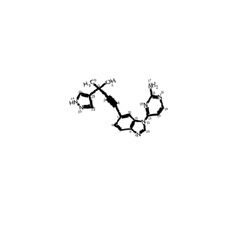 CC(O)(C#Cc1ccc2ncn(-c3ccnc(N)n3)c2c1)c1cn[nH]c1